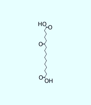 O=C(O)CCCCCCCCCC(=O)CCCCC(=O)O